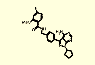 COc1cc(F)ccc1C(=O)NCc1ccc(-c2nn(C3CCCC3)c3ncnc(N)c23)cc1